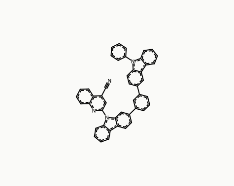 N#Cc1cc(-n2c3ccccc3c3ccc(-c4cccc(-c5ccc6c(c5)c5ccccc5n6-c5ccccc5)c4)cc32)nc2ccccc12